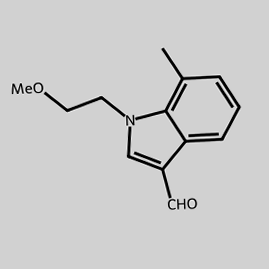 COCCn1cc(C=O)c2cccc(C)c21